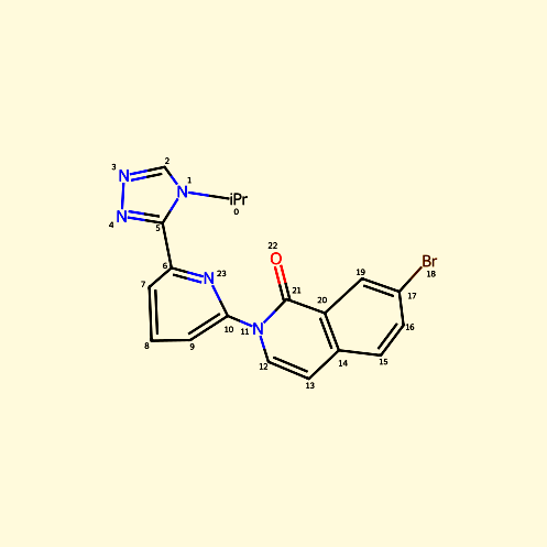 CC(C)n1cnnc1-c1cccc(-n2ccc3ccc(Br)cc3c2=O)n1